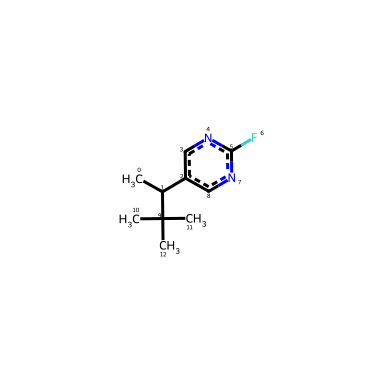 CC(c1cnc(F)nc1)C(C)(C)C